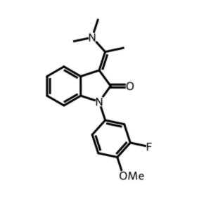 COc1ccc(N2C(=O)/C(=C(\C)N(C)C)c3ccccc32)cc1F